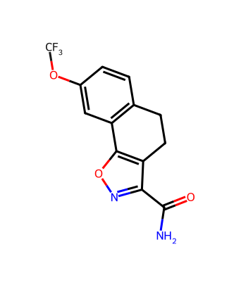 NC(=O)c1noc2c1CCc1ccc(OC(F)(F)F)cc1-2